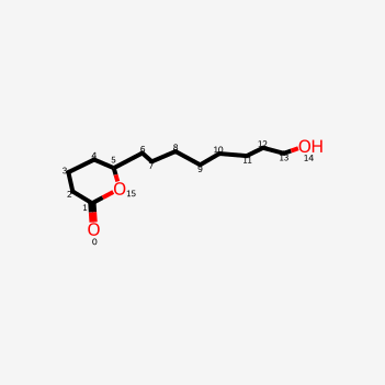 O=C1CCCC(CCCCCCCCO)O1